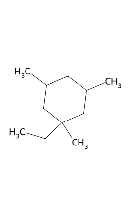 CCC1(C)CC(C)CC(C)C1